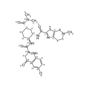 CN1CCc2nc(C(=O)N[C@H]3C[C@@H](C(=O)N(C)C)CC[C@@H]3NC(=O)N3CC(=O)c4cc(Cl)ccc4N3)sc2C1